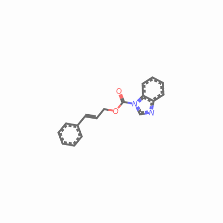 O=C(OCC=Cc1ccccc1)n1cnc2ccccc21